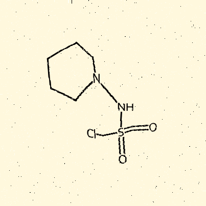 O=S(=O)(Cl)NN1CCCCC1